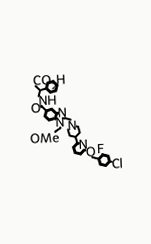 COCCn1c(CN2CCC(c3cccc(OCc4ccc(Cl)cc4F)n3)CC2)nc2cc(C(=O)NCC(CC(=O)O)c3ccccc3)ccc21